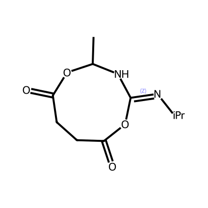 CC(C)/N=C1/NC(C)OC(=O)CCC(=O)O1